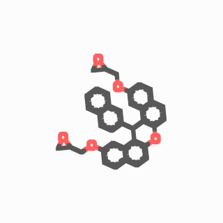 c1ccc2cc(C3c4c(ccc5ccc(OCC6CO6)cc45)Oc4ccc5ccc(OCC6CO6)cc5c43)ccc2c1